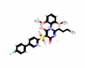 CCCCc1nc(=O)c(S(=O)(=O)c2ccc(-c3ccc(F)cc3)cn2)c(O)n1-c1c(OC)cccc1OC